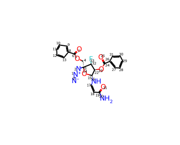 [N-]=[N+]=N[C@]1(COC(=O)c2ccccc2)O[C@@H](N/C=C\C(N)=O)[C@H](OC(=O)c2ccccc2)[C@@H]1F